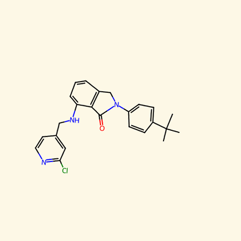 CC(C)(C)c1ccc(N2Cc3cccc(NCc4ccnc(Cl)c4)c3C2=O)cc1